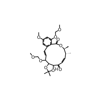 COCOc1cc(OC)cc2c1C(=O)O[C@@H](C)[C@H](C)/C=C\C(=O)[C@H]1OC(C)(C)OC1C(OCOC)/C=C/2